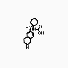 O=C(O)NC1(Nc2ccc3c(c2)CCNC3)CCCCC1